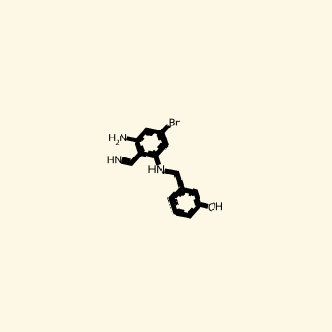 N=Cc1c(N)cc(Br)cc1NCc1cccc(O)c1